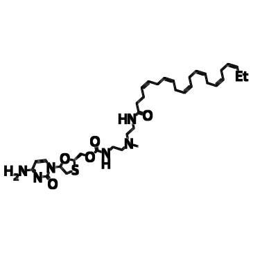 CC/C=C\C/C=C\C/C=C\C/C=C\C/C=C\C/C=C\CCC(=O)NCCN(C)CCNC(=O)OC[C@@H]1OC(n2ccc(N)nc2=O)CS1